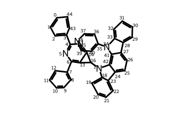 c1ccc(-c2nc(-c3ccccc3)c3c(n2)C3n2c3ccccc3c3ccc4c5ccccc5n(-c5ccncc5)c4c32)cc1